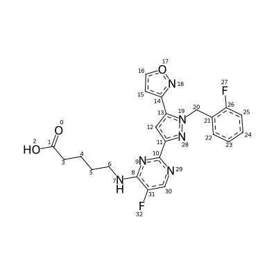 O=C(O)CCCCNc1nc(-c2cc(-c3ccon3)n(Cc3ccccc3F)n2)ncc1F